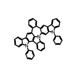 c1ccc(-n2c3ccccc3c3cc4c(cc32)-n2c3ccccc3c3c2c(cc2c5ccccc5n(-c5ccccc5)c23)-c2ccccc2-4)cc1